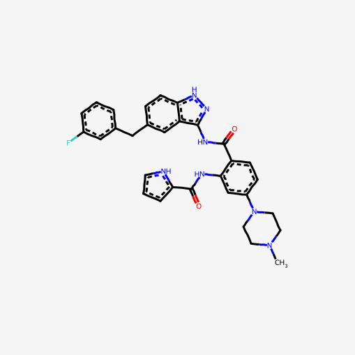 CN1CCN(c2ccc(C(=O)Nc3n[nH]c4ccc(Cc5cccc(F)c5)cc34)c(NC(=O)c3ccc[nH]3)c2)CC1